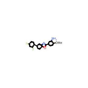 COc1ccc(-c2nc3cc(-c4ccc(F)cc4F)ccc3o2)cc1N